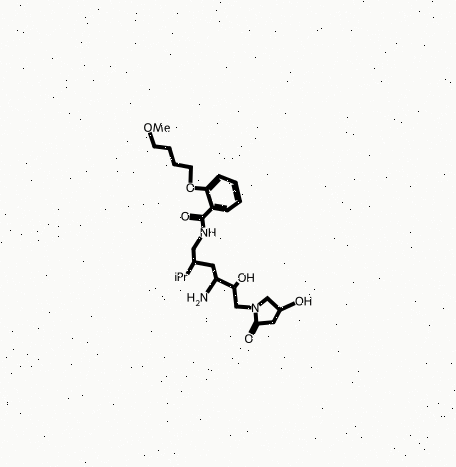 COCCCCOc1ccccc1C(=O)NCC(CC(N)C(O)CN1CC(O)CC1=O)C(C)C